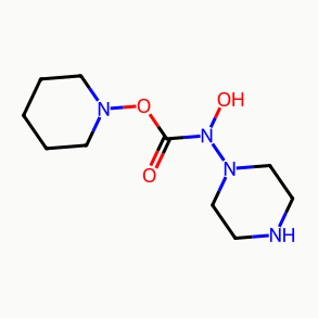 O=C(ON1CCCCC1)N(O)N1CCNCC1